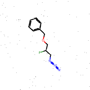 [N-]=[N+]=NCC(F)COCc1ccccc1